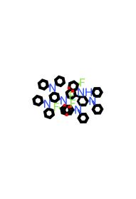 Fc1cccc(F)c1NC1(c2cccc(N(c3cc(N(c4ccccc4)c4ccccc4)cc(N(c4ccccc4)c4ccccc4)c3)c3c(F)cccc3F)c2)C=C(N(c2ccccc2)c2ccccc2)C=C(N(c2ccccc2)c2ccccc2)C1